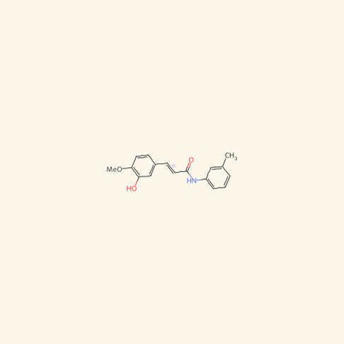 COc1ccc(/C=C/C(=O)Nc2cccc(C)c2)cc1O